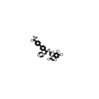 CN(C)C(=O)c1ccc(-c2ccc(C(CN3CCOCC3)N(C)C(=O)CN3C(=O)COc4cc(Cl)c(Cl)cc43)cc2)cc1